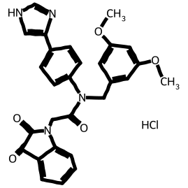 COc1cc(CN(C(=O)CN2C(=O)C(=O)c3ccccc32)c2ccc(-c3c[nH]cn3)cc2)cc(OC)c1.Cl